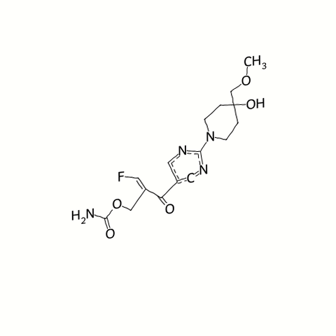 COCC1(O)CCN(c2ncc(C(=O)C(=CF)COC(N)=O)cn2)CC1